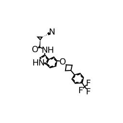 N#C[C@H]1C[C@@H]1C(=O)Nc1c[nH]c2ccc(OC3CC(c4ccc(C(F)(F)F)cc4)C3)cc12